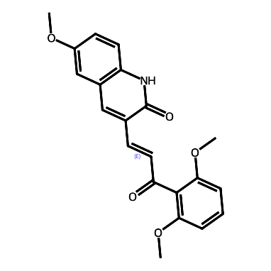 COc1ccc2[nH]c(=O)c(/C=C/C(=O)c3c(OC)cccc3OC)cc2c1